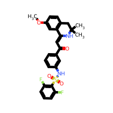 COc1ccc2c(c1)C(=CC(=O)c1cccc(NS(=O)(=O)c3c(F)cccc3F)c1)NC(C)(C)C2